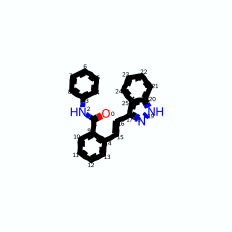 O=C(Nc1ccccc1)c1ccccc1C=Cc1n[nH]c2ccccc12